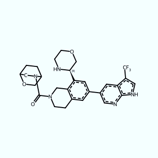 O=C(N1CCc2cc(-c3cnc4[nH]cc(C(F)(F)F)c4c3)cc([C@@H]3COCCN3)c2C1)N1CC2CCC1CO2